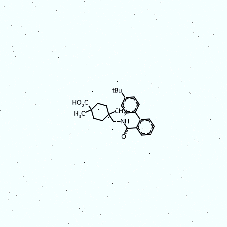 CC1(CNC(=O)c2ccccc2-c2ccc(C(C)(C)C)cc2)CCC(C)(C(=O)O)CC1